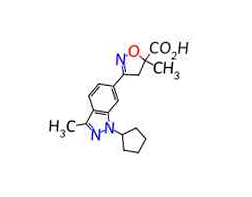 Cc1nn(C2CCCC2)c2cc(C3=NOC(C)(C(=O)O)C3)ccc12